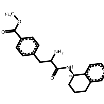 COC(=O)c1ccc(CC(N)C(=O)N[C@@H]2CCCc3ccccc32)cc1